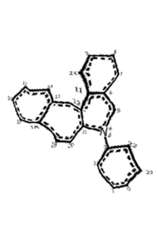 c1ccc(-[n+]2cc3ccccc3c3c4ccccc4ccc32)cc1